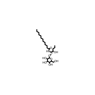 CCCCCCCCCCCCC(=O)N[C@@H](COC1OC(CO)C(O)C(O)C1O)[C@H](O)CCC